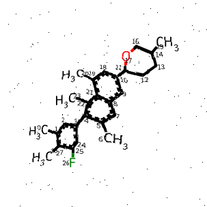 Cc1cc(-c2c(C)cc3cc(C4CCC(C)CO4)cc(C)c3c2C)cc(F)c1C